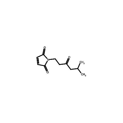 CC(C)CC(=O)CCN1C(=O)C=CC1=O